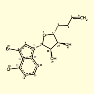 C=CCC[C@H]1O[C@@H](n2cc(Br)c3c(Cl)ncnc32)[C@H](O)[C@@H]1O